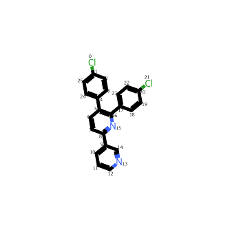 Clc1ccc(-c2ccc(-c3cccnc3)nc2-c2ccc(Cl)cc2)cc1